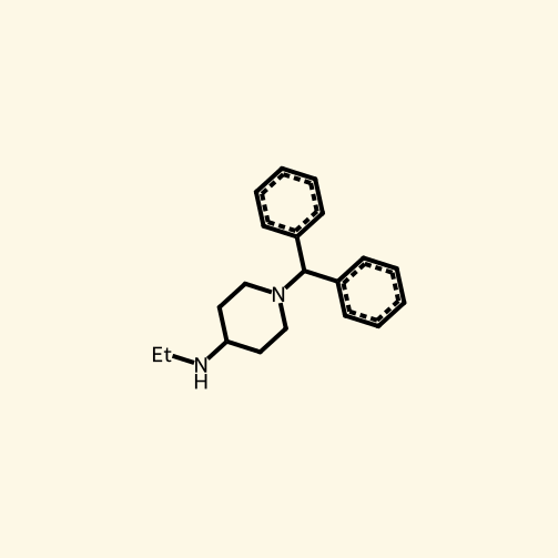 CCNC1CCN(C(c2ccccc2)c2ccccc2)CC1